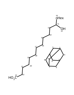 C1C2CC3CC1CC(C2)C3.CCCCCCC(O)CCCCCCCCCCC(=O)O